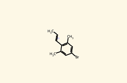 C/C=C/c1c(C)cc(Br)cc1C